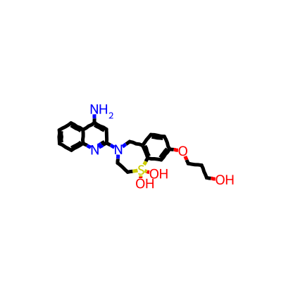 Nc1cc(N2CCS(O)(O)c3cc(OCCCO)ccc3C2)nc2ccccc12